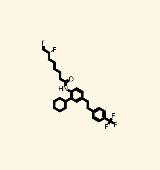 O=C(CCCCC[C@@H](F)CF)Nc1ccc(CCc2ccc(C(F)(F)F)cc2)cc1C1CCCCC1